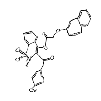 CN1C(C(=O)c2ccc(C#N)cc2)=C(OC(=O)COc2ccc3ccccc3c2)c2ccccc2S1(=O)=O